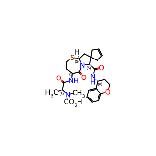 C[C@@H](C(=O)N[C@H]1CCS[C@H]2CC3(CC=CC3)[C@@H](C(=O)N[C@@H]3CCOc4ccccc43)N2C1=O)N(C)C(=O)O